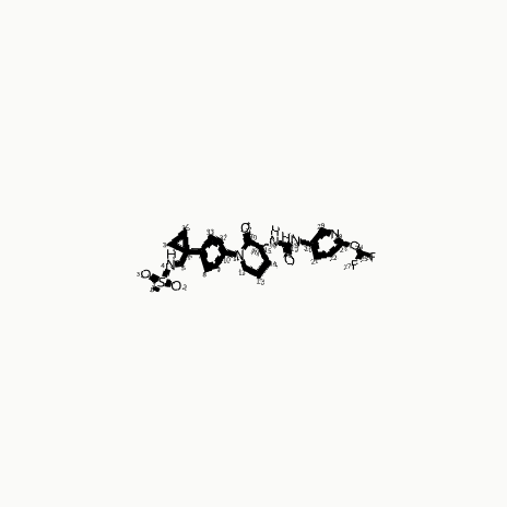 CS(=O)(=O)NCC1(c2ccc(N3CCC[C@@H](NC(=O)Nc4ccc(OC(F)F)nc4)C3=O)cc2)CC1